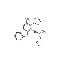 C[C](C)=[Zr+2][c]1c2c(cc(C)c1C1=CC=CC1)-c1ccccc1C2.[Cl-].[Cl-]